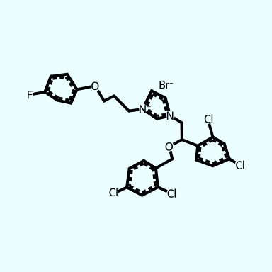 Fc1ccc(OCCC[n+]2ccn(CC(OCc3ccc(Cl)cc3Cl)c3ccc(Cl)cc3Cl)c2)cc1.[Br-]